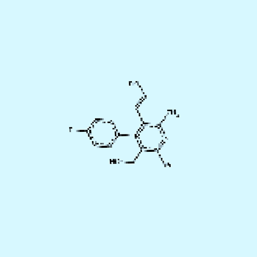 CCCC=Cc1c(C)nc(C(C)C)c(CO)c1-c1ccc(F)cc1